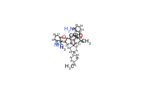 CC[C@H]1CC[C@@H](C2CCC(c3cc(C)c(Oc4cccc(N)c4)c(C)c3)(c3cc(C)c(Oc4cccc(N)c4)c(C)c3)CC2)CC1